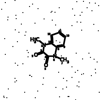 Cn1c(=O)c(=O)n(C)c2ccccc21